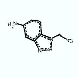 Nc1ccc2c(c1)nnn2CCl